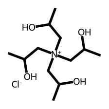 CC(O)C[N+](CC(C)O)(CC(C)O)CC(C)O.[Cl-]